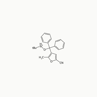 Cc1oc(C#N)cc1C(O[SiH2]C(C)(C)C)(c1ccccc1)c1ccccc1